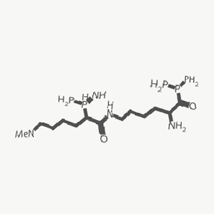 CNCCCCC(C(=O)NCCCCC(N)C(=O)P(P)P)[PH](=N)P